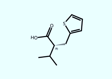 CC(C)[C@@H](Cc1cccs1)C(=O)O